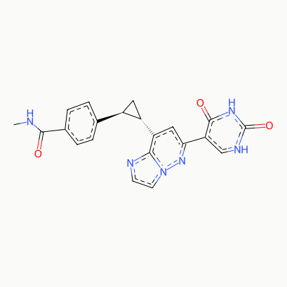 CNC(=O)c1ccc([C@H]2C[C@@H]2c2cc(-c3c[nH]c(=O)[nH]c3=O)nn3ccnc23)cc1